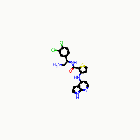 NCC(NC(=O)c1sccc1Nc1ccnc2[nH]ccc12)c1ccc(Cl)c(Cl)c1